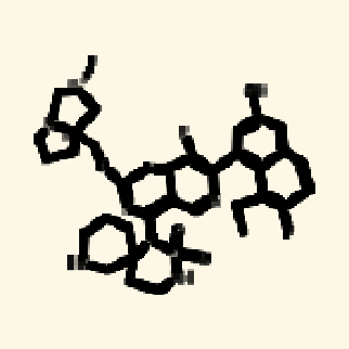 CCc1c(F)ccc2cc(O)cc(-c3ncc4c(N5C6(CCCNC6)CCNS5(=O)=O)nc(OC[C@@]56CCCN5C[C@H](F)C6)nc4c3F)c12